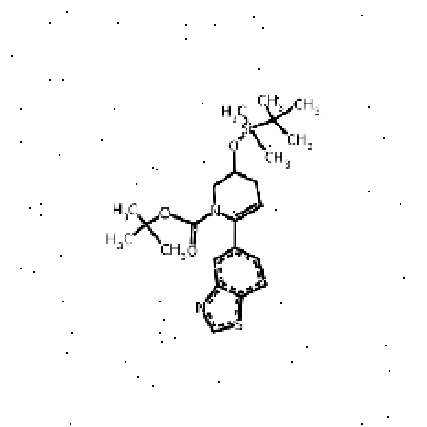 CC(C)(C)OC(=O)N1CC(O[Si](C)(C)C(C)(C)C)CC=C1c1ccc2scnc2c1